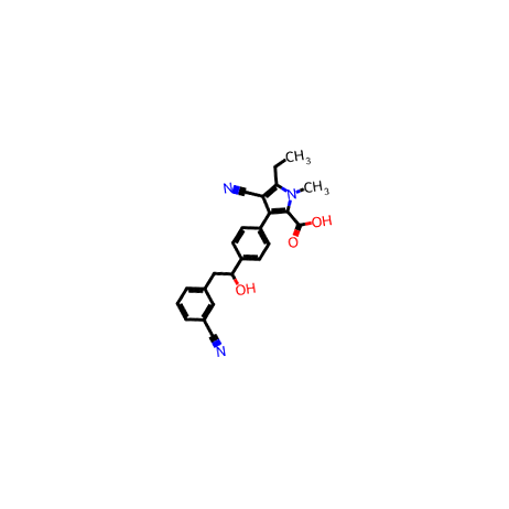 CCc1c(C#N)c(-c2ccc(C(O)Cc3cccc(C#N)c3)cc2)c(C(=O)O)n1C